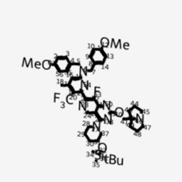 COc1ccc(CN(Cc2ccc(OC)cc2)c2cc(C)c(C(F)(F)F)c(-c3ncc4c(N5CCCC(O[Si](C)(C)C(C)(C)C)C5)nc(OCC56CCCN5CCC6)nc4c3F)n2)cc1